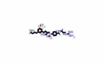 C[C@H](N)CCCc1cc(OC(F)(F)F)c(F)c(-c2cc3cn(-c4ccc([C@H](C)N[C@@H](C)CCNC(=N)N)cc4)c(=O)nc3[nH]2)c1